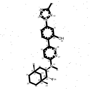 Cc1nnn(-c2ccc(-c3ccc(N(C)[C@@H]4C[C@@]5(C)CCC[C@](C)(C5)[C@H]4F)nn3)c(O)c2)n1